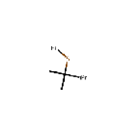 [CH2]CSC(C)(C)C(C)C